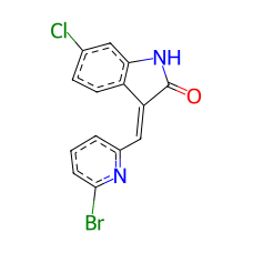 O=C1Nc2cc(Cl)ccc2/C1=C\c1cccc(Br)n1